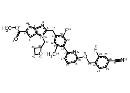 COC(=O)c1cc2c(nc(Cc3cc(C)c(-c4cccc(OCc5ccc(C#N)cc5F)n4)cc3F)n2CC2CCO2)s1